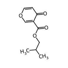 CC(C)COC(=O)c1coccc1=O